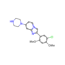 COc1cc(OC)c(-c2cn3ccc(N4CCNCC4)cc3n2)cc1Cl